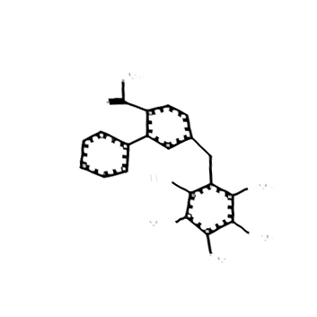 COC(=O)c1ccc(Cc2c(C)c(OC)c(OC)c(OC)c2OC)cc1-c1ccccc1